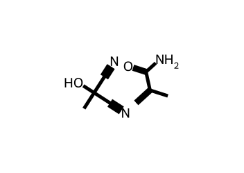 C=C(C)C(N)=O.CC(O)(C#N)C#N